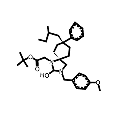 CCC(C)C[C@]1(c2ccccc2)CC[C@]2(CC1)CN(Cc1ccc(OC)cc1)C(O)N2CC(=O)OC(C)(C)C